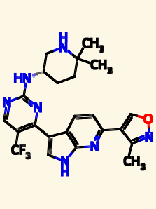 Cc1nocc1-c1ccc2c(-c3nc(N[C@H]4CCC(C)(C)NC4)ncc3C(F)(F)F)c[nH]c2n1